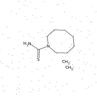 NC(=S)N1[CH]CCCCCC1.[CH2].[CH2]